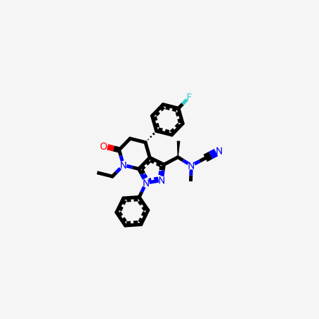 CCN1C(=O)C[C@H](c2ccc(F)cc2)c2c([C@@H](C)N(C)C#N)nn(-c3ccccc3)c21